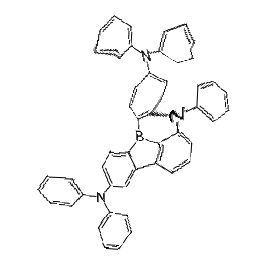 C1=CCCC(N(c2ccccc2)c2ccc3c(c2)N(c2ccccc2)c2cccc4c2B3c2ccc(N(c3ccccc3)c3ccccc3)cc2-4)=C1